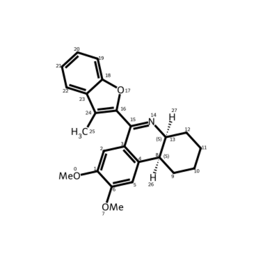 COc1cc2c(cc1OC)[C@@H]1CCCC[C@@H]1N=C2c1oc2ccccc2c1C